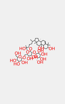 C[C@H](CC[C@@H](O[C@@H]1O[C@H](CO[C@@H]2OC(CO)[C@@H](O)[C@H](O)[C@H]2O)[C@@H](O)[C@H](O)[C@H]1O[C@H]1O[C@@H](CO)[C@H](O)[C@@H](O)[C@@H]1O)C(C)(C)O)C1CC[C@@]2(C)C3CC=C4C(CC[C@H](O)C4(C)C)[C@]3(C)[C@H](O)C[C@]12C